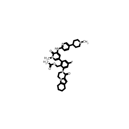 CC(=O)OCc1c(-c2cc(Nc3ccc(C4CCN(C)CC4)cn3)c(=O)n(C)c2)cc(F)cc1N1CCn2c(cc3c2CCCC3)C1=O